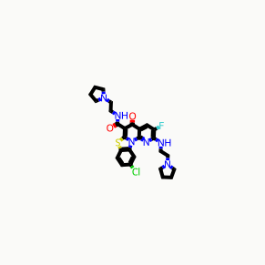 O=C(NCCN1CCCC1)c1c(=O)c2cc(F)c(NCCN3CCCC3)nc2n2c1sc1ccc(Cl)cc12